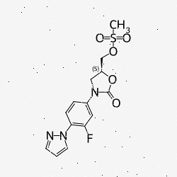 CS(=O)(=O)OC[C@@H]1CN(c2ccc(-n3cccn3)c(F)c2)C(=O)O1